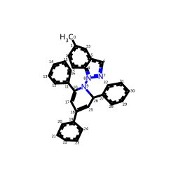 Cc1ccc2c(cnn2N2C(c3ccccc3)=CC(c3ccccc3)=CC2c2ccccc2)c1